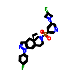 CC[C@]12Cc3cnn(-c4ccc(F)cc4)c3C=C1CCN(S(=O)(=O)c1cncc(N3CC(F)C3)c1)C2